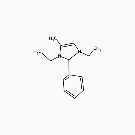 CCN1C=C(C)N(CC)C1c1ccccc1